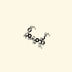 COCCc1nc(-c2ccc(NC(=O)Nc3ccc(CN4CCN(C)CC4)c(C(F)(F)F)c3)c(F)c2)c2c(N)nccn12